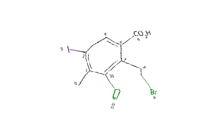 Cc1c(I)cc(C(=O)O)c(CBr)c1Cl